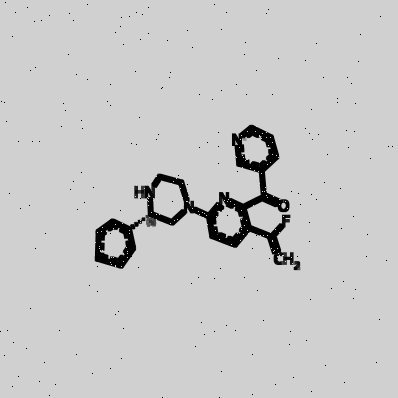 C=C(F)c1ccc(N2CCN[C@@H](c3ccccc3)C2)nc1C(=O)c1cccnc1